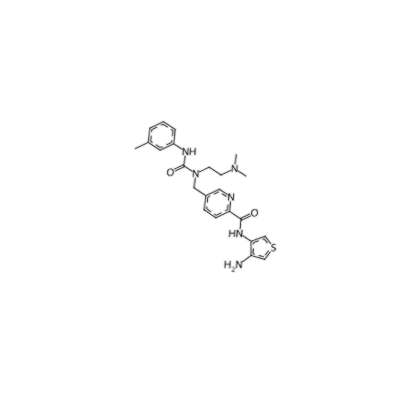 Cc1cccc(NC(=O)N(CCN(C)C)Cc2ccc(C(=O)Nc3cscc3N)nc2)c1